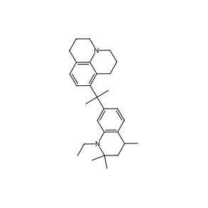 CCN1c2cc(C(C)(C)c3ccc4c5c3CCCN5CCC4)ccc2C(C)CC1(C)C